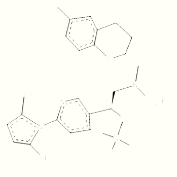 Cc1ccc(C)n1-c1ccc([C@@H](CN(C[C@H]2CCc3cc(I)ccc3O2)C(=O)O)O[Si](C)(C)C(C)(C)C)cn1